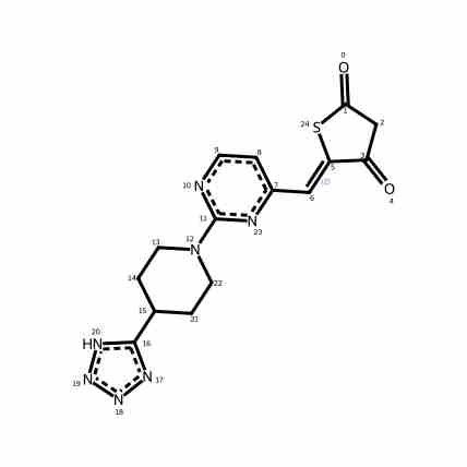 O=C1CC(=O)/C(=C/c2ccnc(N3CCC(c4nnn[nH]4)CC3)n2)S1